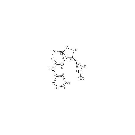 CCOCC.O=C(Oc1ccccc1)ON1C(=O)CCC1=O